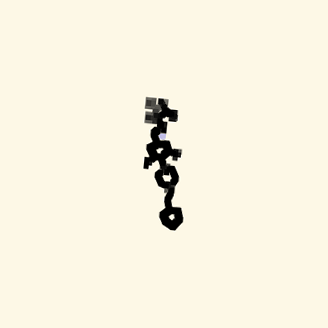 NC(=S)N/N=C/c1cc(F)c(N2CCN(CCc3ccccc3)CC2)c(F)c1